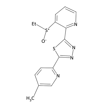 CC[S+]([O-])c1cccnc1-c1nnc(-c2ccc(C)cn2)s1